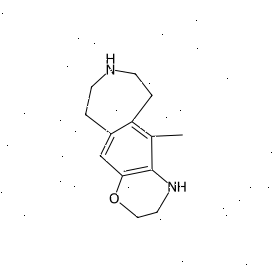 Cc1c2c(cc3c1NCCO3)CCNCC2